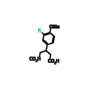 COc1ccc(C(CC(=O)O)CC(=O)O)cc1F